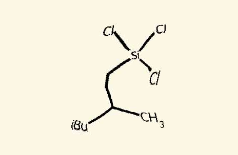 CCC(C)C(C)C[Si](Cl)(Cl)Cl